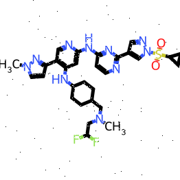 CN(CC(F)F)CC1CCC(Nc2cc(Nc3ccnc(-c4cnn(S(=O)(=O)C5CC5)c4)n3)ncc2-c2ccn(C)n2)CC1